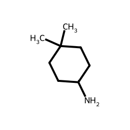 CC1(C)CC[C](N)CC1